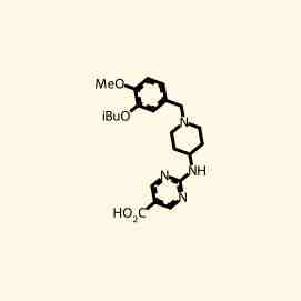 COc1ccc(CN2CCC(Nc3ncc(C(=O)O)cn3)CC2)cc1OCC(C)C